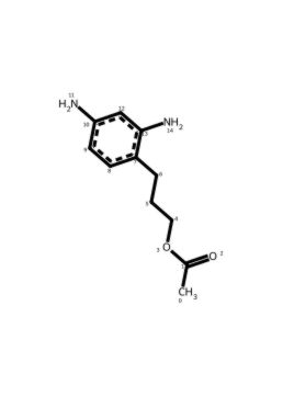 CC(=O)OCCCc1ccc(N)cc1N